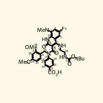 CNc1cc(F)cc2c(NCCNC(=O)OC(C)(C)C)c(C(=O)N(Cc3ccc(OC)cc3OC)c3ccc(C(=O)O)cc3)c(=O)[nH]c12